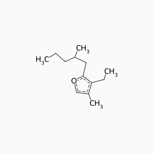 CCCC(C)Cc1occ(C)c1CC